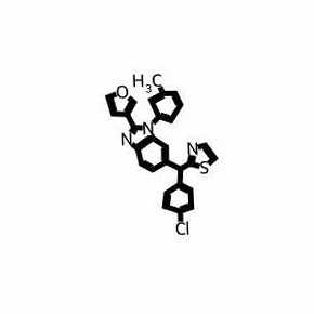 Cc1cccc(-n2c(-c3ccoc3)nc3ccc(C(c4ccc(Cl)cc4)c4nccs4)cc32)c1